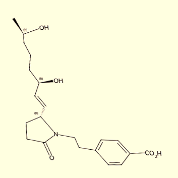 C[C@@H](O)CCC[C@@H](O)C=C[C@H]1CCC(=O)N1CCc1ccc(C(=O)O)cc1